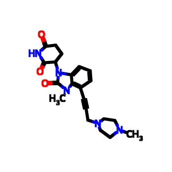 CN1CCN(CC#Cc2cccc3c2n(C)c(=O)n3C2CCC(=O)NC2=O)CC1